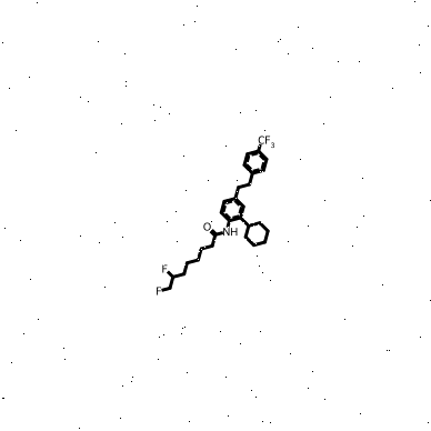 O=C(CCCCCC(F)CF)Nc1ccc(CCc2ccc(C(F)(F)F)cc2)cc1C1CCCCC1